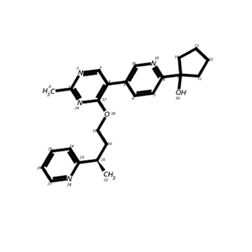 Cc1ncc(-c2ccc(C3(O)CCCC3)nc2)c(OCC[C@@H](C)c2ccccn2)n1